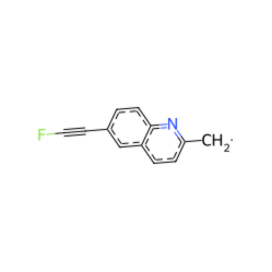 [CH2]c1ccc2cc(C#CF)ccc2n1